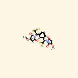 CCOC1CC(=O)N(C(C(=S)S)c2cccc(C(C(=S)S)N3C(=O)CC(OCC)C3=O)c2)C1=O